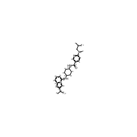 CC(F)CN(C)c1ccc(C(=O)NC2CCC(Pc3cccc4nc(C(C)F)cn34)CC2)cn1